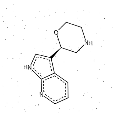 c1cnc2[nH]cc([C@@H]3CNCCO3)c2c1